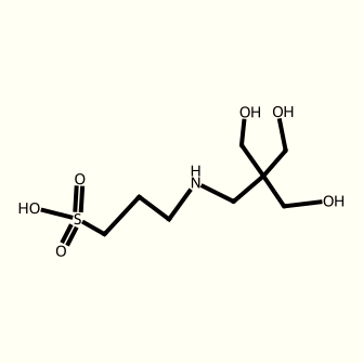 O=S(=O)(O)CCCNCC(CO)(CO)CO